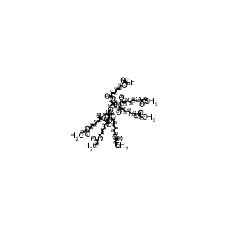 C=CC(=O)OCCCCCC(=O)OCC(COCC(COC(=O)CCCCCOC(=O)C=C)(COC(=O)CCCCCOC(=O)C=C)COC(=O)CCCCCOC(=O)CC)(COC(=O)CCCCCOC(=O)C=C)COC(=O)CCCCCOC(=O)C=C